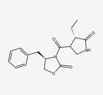 CC[C@@H]1C(=O)NCC1C(=O)N1C(=O)OC[C@H]1Cc1ccccc1